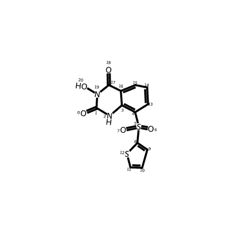 O=c1[nH]c2c(S(=O)(=O)c3cccs3)cccc2c(=O)n1O